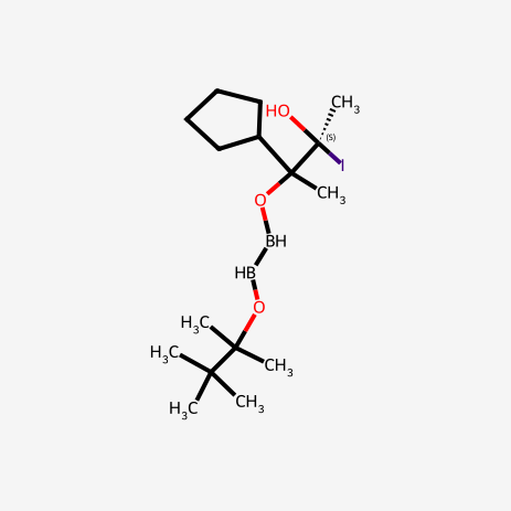 CC(C)(C)C(C)(C)OBBOC(C)(C1CCCC1)[C@@](C)(O)I